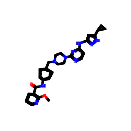 COc1ncccc1C(=O)Nc1ccc(CN2CCN(c3nccc(Nc4cc(C5CC5)[nH]n4)n3)CC2)cc1